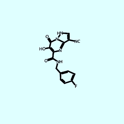 [C-]#[N+]c1c[nH]n2c(=O)c(O)c(C(=O)NCc3ccc(F)cc3)nc12